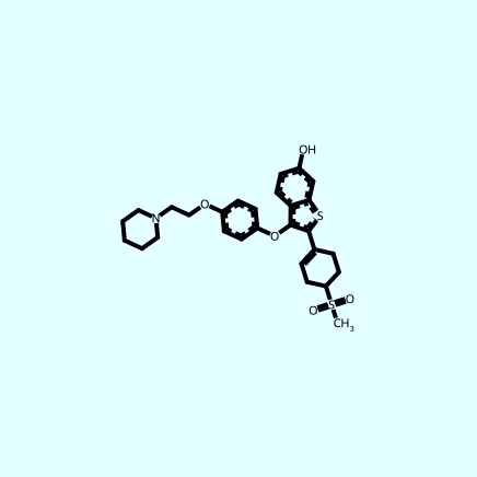 CS(=O)(=O)C1CC=C(c2sc3cc(O)ccc3c2Oc2ccc(OCCN3CCCCC3)cc2)CC1